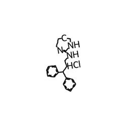 Cl.c1ccc(C(CCNC2=NCCCCN2)c2ccccc2)cc1